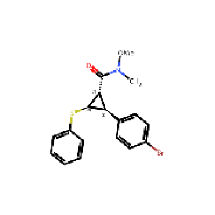 CON(C)C(=O)[C@H]1[C@H](Sc2ccccc2)[C@@H]1c1ccc(Br)cc1